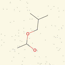 CC(C)COC(C)[O]